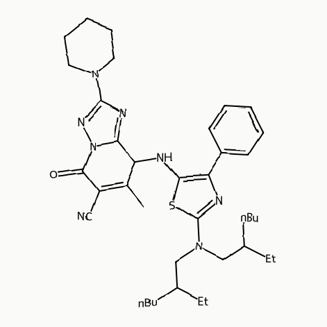 CCCCC(CC)CN(CC(CC)CCCC)c1nc(-c2ccccc2)c(NC2C(C)=C(C#N)C(=O)n3nc(N4CCCCC4)nc32)s1